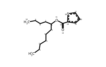 CCCCCCC(CCCC)OC(=O)c1cccs1